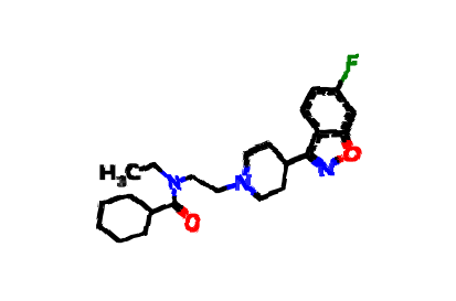 CCN(CCN1CCC(c2noc3cc(F)ccc23)CC1)C(=O)C1CCCCC1